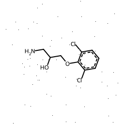 NCC(O)COc1c(Cl)cccc1Cl